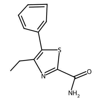 CCc1nc(C(N)=O)sc1-c1ccccc1